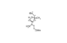 CSCCC(N)C(=O)OC(C)(C)CC(C)(C)C